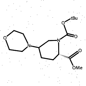 COC(=O)[C@@H]1CCC(N2CCOCC2)CN1C(=O)OC(C)(C)C